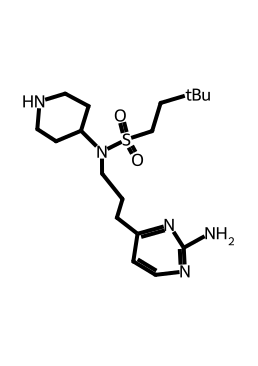 CC(C)(C)CCS(=O)(=O)N(CCCc1ccnc(N)n1)C1CCNCC1